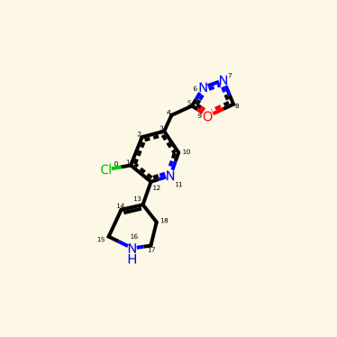 Clc1cc(Cc2nnco2)cnc1C1=CCNCC1